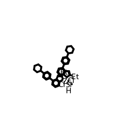 CCC1=Cc2c(-c3ccc(C4CCCCC4)cc3)cccc2[CH]1[Zr]([Cl])([Cl])([CH]1C(CC)=Cc2c(-c3ccc(C4CCCCC4)cc3)cccc21)[SiH](C)C